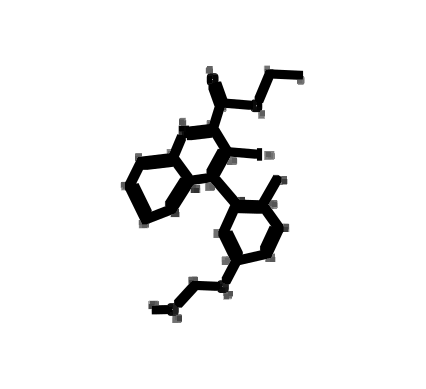 CCOC(=O)c1nc2ccccc2c(-c2cc(OCOC)ccc2C)c1I